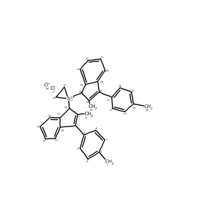 CC1=C(c2ccc(C)cc2)c2ccccc2[CH]1[Ti+2]1([CH]2C(C)=C(c3ccc(C)cc3)c3ccccc32)[CH2][CH2]1.[Cl-].[Cl-]